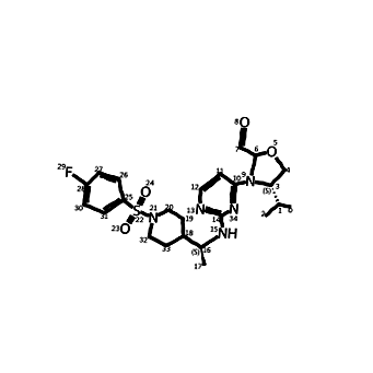 CC(C)[C@H]1COC(C=O)N1c1ccnc(N[C@@H](C)C2CCN(S(=O)(=O)c3ccc(F)cc3)CC2)n1